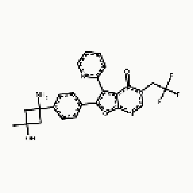 CC1(O)CC(N)(c2ccc(-c3oc4ncn(CC(F)(F)F)c(=O)c4c3-c3ccccn3)cc2)C1